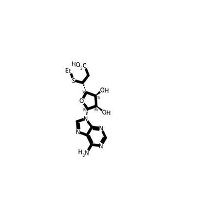 CCSC(CC(=O)O)[C@H]1O[C@@H](n2cnc3c(N)ncnc32)[C@H](O)[C@@H]1O